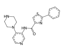 O=C(Nc1cnccc1N1CCNCC1)c1csc(-c2ccccc2)n1